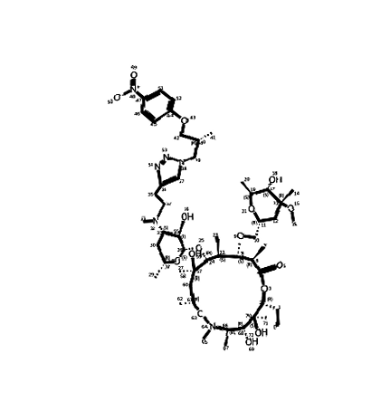 CC[C@H]1OC(=O)[C@H](C)[C@@H](OC[C@H]2C[C@@](C)(OC)[C@@H](O)[C@H](C)O2)[C@H](C)[C@@H](O[C@@H]2O[C@H](C)C[C@H](N(C)CCc3cn(C[C@@H](C)COc4ccc([N+](=O)[O-])cc4)nn3)[C@H]2O)[C@](C)(O)C[C@@H](C)CN(C)[C@H](C)[C@@H](O)[C@]1(C)O